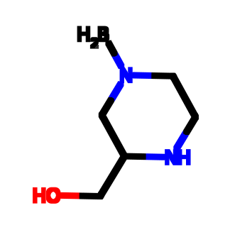 BN1CCNC(CO)C1